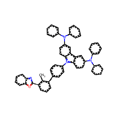 Cc1c(-c2ccc(-n3c4ccc(N(c5ccccc5)c5ccccc5)cc4c4cc(N(c5ccccc5)c5ccccc5)ccc43)cc2)cccc1-c1nc2ccccc2o1